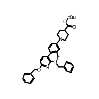 CC(C)(C)OC(=O)C1CCN(c2ccc(-c3ccc(OCc4ccccc4)nc3OCc3ccccc3)c(F)c2)CC1